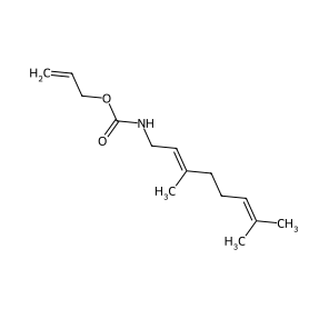 C=CCOC(=O)NC/C=C(\C)CCC=C(C)C